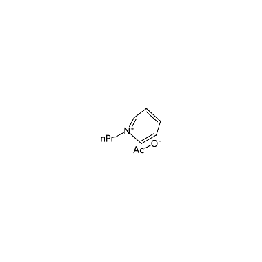 CC(=O)[O-].CCC[n+]1ccccc1